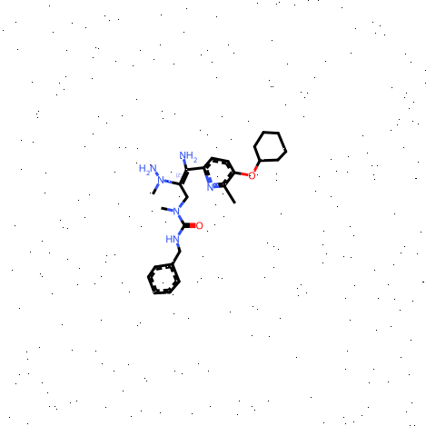 Cc1nc(/C(N)=C(\CN(C)C(=O)NCc2ccccc2)N(C)N)ccc1OC1CCCCC1